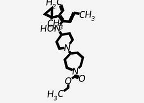 C=C/C(=C(\C=C\C)N(O)C1CCN(C2CCCN(C(=O)OCC)CC2)CC1)C1(C)CC1